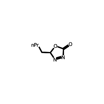 CCCCC1N=NC(=O)O1